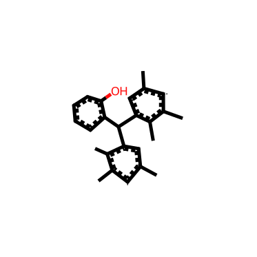 Cc1[c]c(C)c(C)c(C(c2ccccc2O)c2cc(C)[c]c(C)c2C)c1